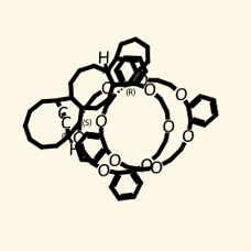 c1ccc2c(c1)OCCOCCOc1ccccc1OCC[C@@]1(OCCO2)C2CCCCC(C2)[C@H]2CCCC3C4CCCCCC[C@H](CC4)[C@@]4(CCOc5ccccc5OCCOCCOc5ccccc5OCCO4)C3CCC21